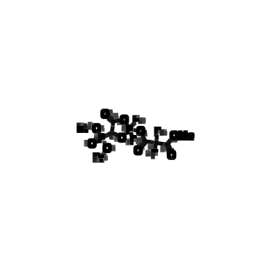 CCOP(=O)(OCC)C1OP(F)(F)(OC(=O)C(F)(F)C(=O)OC)OC1=O